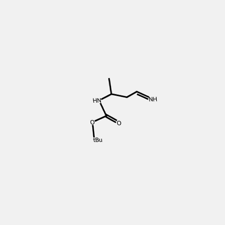 CC(CC=N)NC(=O)OC(C)(C)C